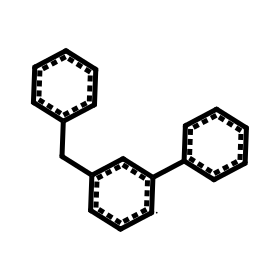 [c]1ccc(Cc2ccccc2)cc1-c1ccccc1